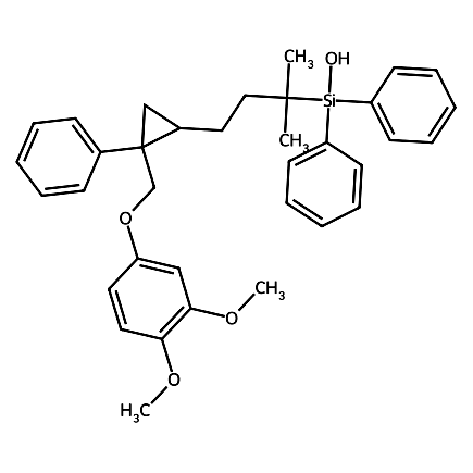 COc1ccc(OCC2(c3ccccc3)CC2CCC(C)(C)[Si](O)(c2ccccc2)c2ccccc2)cc1OC